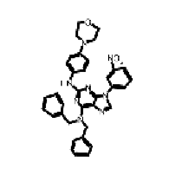 O=[N+]([O-])c1cccc(-n2cnc3c(N(Cc4ccccc4)Cc4ccccc4)nc(Nc4ccc(N5CCOCC5)cc4)nc32)c1